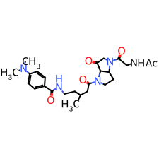 CC(=O)NCC(=O)N1CC(=O)C2C1CCN2C(=O)CC(C)CCNC(=O)c1ccc(N(C)C)cc1